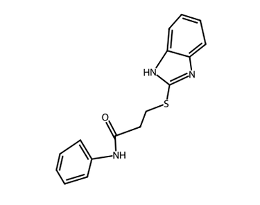 O=C(CCSc1nc2ccccc2[nH]1)Nc1ccccc1